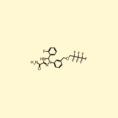 NC(=O)C1=NN(c2cccc(COCC(F)(F)C(F)(F)C(F)(F)F)c2)C(c2ccccc2F)N1